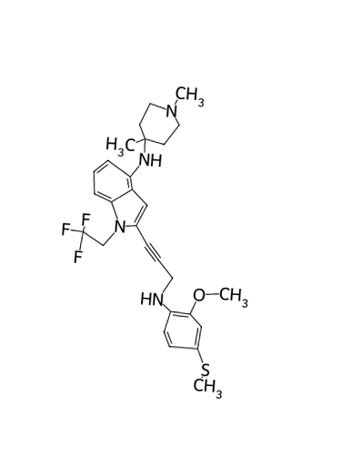 COc1cc(SC)ccc1NCC#Cc1cc2c(NC3(C)CCN(C)CC3)cccc2n1CC(F)(F)F